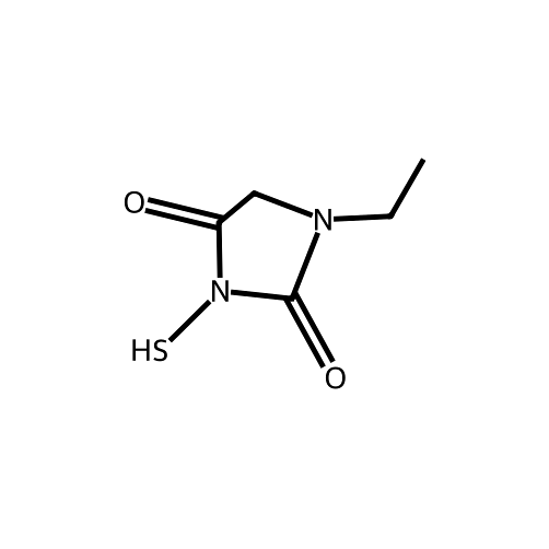 CCN1CC(=O)N(S)C1=O